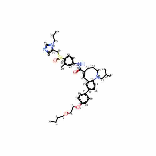 CCCCOCCOc1ccc(-c2ccc3c(c2)C=C(C(=O)Nc2ccc([S+]([O-])Cc4cncn4CCC)c(C)c2)CCCN3CC(C)C)cc1